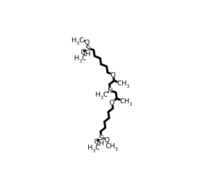 CO[SiH](CCCCCCOC(C)CN(C)CC(C)OCCCCCC[SiH](OC)OC)OC